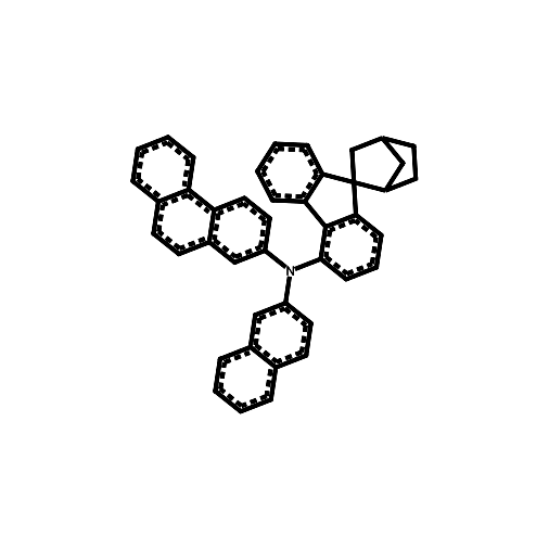 c1ccc2c(c1)-c1c(N(c3ccc4ccccc4c3)c3ccc4c(ccc5ccccc54)c3)cccc1C21CC2CCC1C2